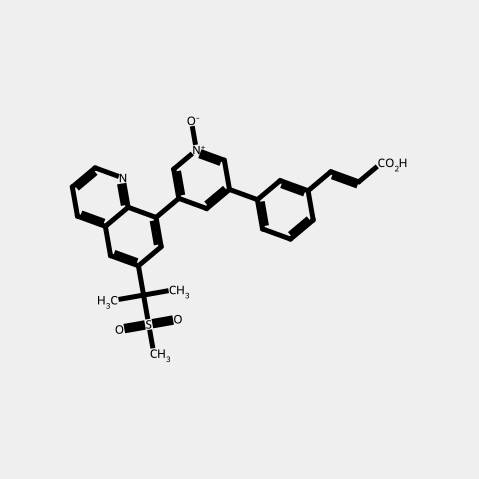 CC(C)(c1cc(-c2cc(-c3cccc(C=CC(=O)O)c3)c[n+]([O-])c2)c2ncccc2c1)S(C)(=O)=O